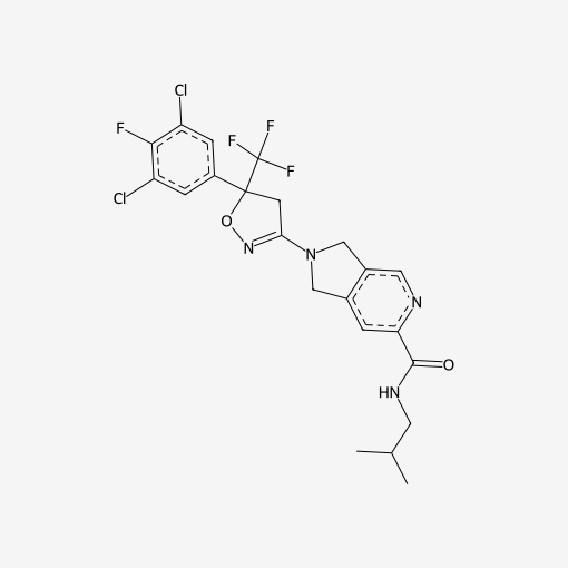 CC(C)CNC(=O)c1cc2c(cn1)CN(C1=NOC(c3cc(Cl)c(F)c(Cl)c3)(C(F)(F)F)C1)C2